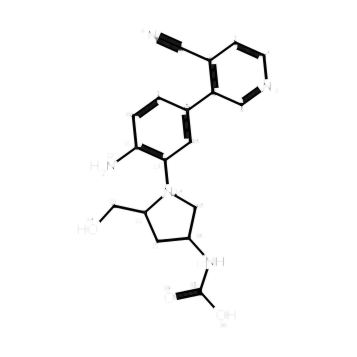 N#Cc1ccncc1-c1ccc(N)c(N2CC(NC(=O)O)CC2CO)c1